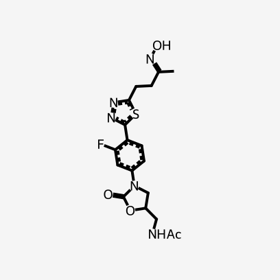 CC(=O)NCC1CN(c2ccc(-c3nnc(CCC(C)=NO)s3)c(F)c2)C(=O)O1